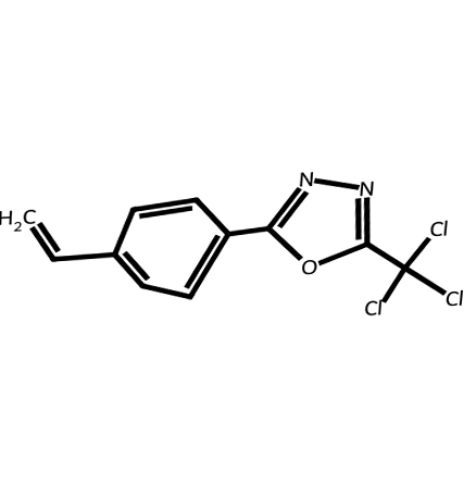 C=Cc1ccc(-c2nnc(C(Cl)(Cl)Cl)o2)cc1